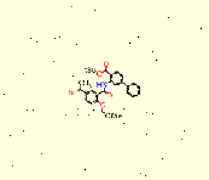 COCOc1ccc(C(C)Br)cc1C(=O)Nc1cc(-c2ccccc2)ccc1C(=O)OC(C)(C)C